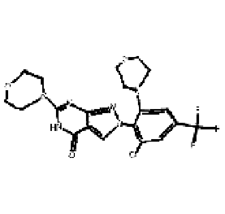 O=c1[nH]c(N2CCOCC2)nc2nn(-c3c(Cl)cc(C(F)(F)F)cc3N3CCOCC3)cc12